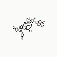 COc1ccc(CN(Cc2ccc(OC)cc2)c2cc(-c3c(F)c4c5c(c3Cl)=NCNC=5N(C(C)c3cccnc3N(Cc3ccc(OC)cc3)Cc3ccc(OC)cc3)C=C(Cl)O4)c(C(F)(F)F)c(C)c2F)cc1